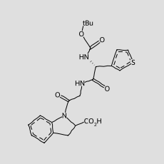 CC(C)(C)OC(=O)N[C@@H](C(=O)NCC(=O)N1c2ccccc2CC1C(=O)O)c1ccsc1